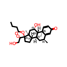 CCCC(=O)O[C@]1(C(=O)CO)CC[C@H]2[C@@H]3C[C@H](C)C4=CC(=O)C=C[C@]4(C)[C@H]3[C@@H](O)C[C@@]21C